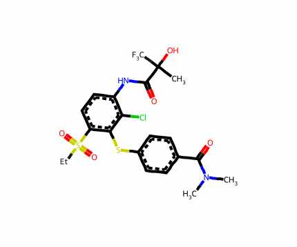 CCS(=O)(=O)c1ccc(NC(=O)C(C)(O)C(F)(F)F)c(Cl)c1Sc1ccc(C(=O)N(C)C)cc1